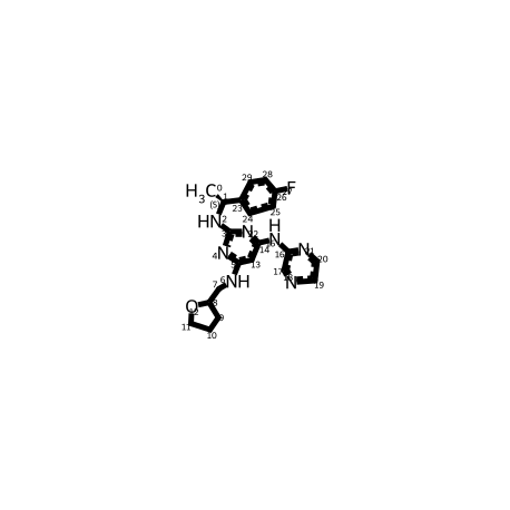 C[C@H](Nc1nc(NCC2CCCO2)cc(Nc2cnccn2)n1)c1ccc(F)cc1